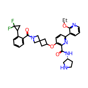 CCOc1ncccc1-c1ccc(OC2CC3(C2)CN(C(=O)c2ccccc2C2CC2(F)F)C3)c(C(=O)N[C@@H]2CCNC2)n1